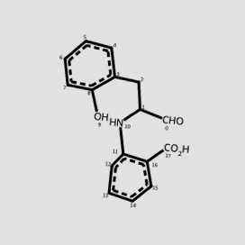 O=CC(Cc1ccccc1O)Nc1ccccc1C(=O)O